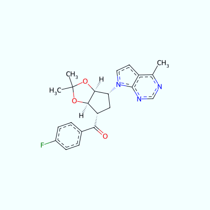 Cc1ncnc2c1ccn2[C@@H]1C[C@H](C(=O)c2ccc(F)cc2)[C@H]2OC(C)(C)O[C@H]21